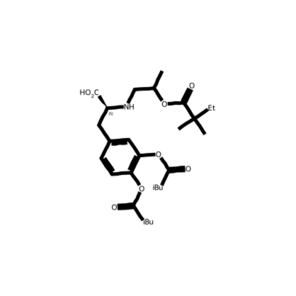 CCC(C)C(=O)Oc1ccc(C[C@H](NCC(C)OC(=O)C(C)(C)CC)C(=O)O)cc1OC(=O)C(C)CC